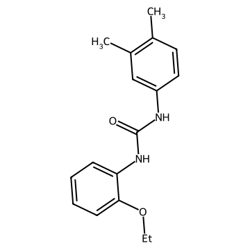 CCOc1ccccc1NC(=O)Nc1ccc(C)c(C)c1